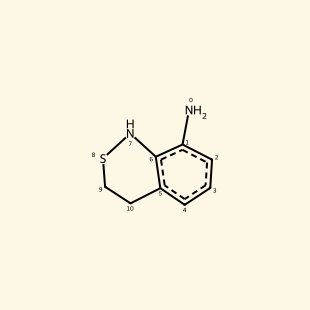 Nc1cccc2c1NSCC2